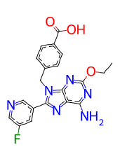 CCOc1nc(N)c2nc(-c3cncc(F)c3)n(Cc3ccc(C(=O)O)cc3)c2n1